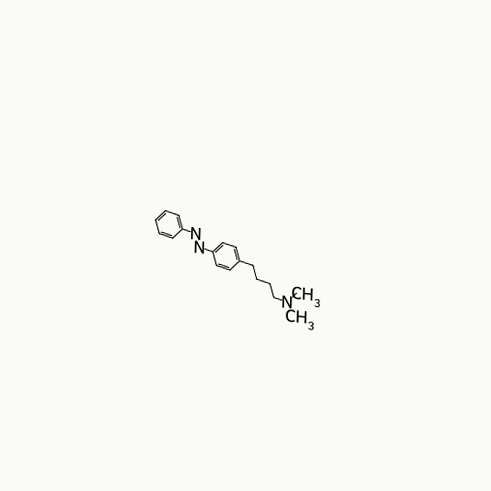 CN(C)CCCCc1ccc(N=Nc2ccccc2)cc1